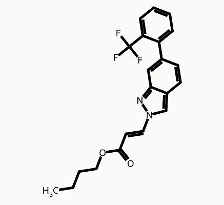 CCCCOC(=O)C=Cn1cc2ccc(-c3ccccc3C(F)(F)F)cc2n1